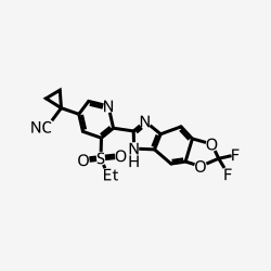 CCS(=O)(=O)c1cc(C2(C#N)CC2)cnc1-c1nc2cc3c(cc2[nH]1)OC(F)(F)O3